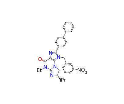 CCN1C(=O)c2nc(-c3ccc(-c4ccccc4)cc3)n(Cc3cccc([N+](=O)[O-])c3)c2N2C[C@@H](C(C)C)N=C12